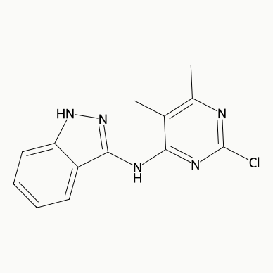 Cc1nc(Cl)nc(Nc2n[nH]c3ccccc23)c1C